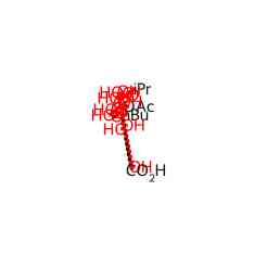 CCCCC(CCCC(O)C(O)CCCCCCCCCCCCCCC(O)C(=O)O)OC1OCC(O)C(O)C1OC1OCC(OC(C)=O)C(O)C1OC1OC(COC(=O)CC(C)C)C(O)C(O)C1O